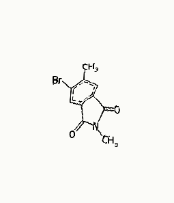 Cc1cc2c(cc1Br)C(=O)N(C)C2=O